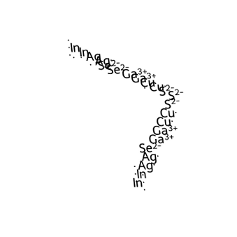 [Ag].[Ag].[Ag].[Ag].[Cu].[Cu].[Cu].[Cu].[Ga+3].[Ga+3].[Ga+3].[Ga+3].[In].[In].[In].[In].[S-2].[S-2].[S-2].[Se-2].[Se-2].[Se-2]